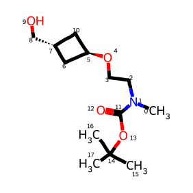 CN(CCO[C@H]1C[C@H](CO)C1)C(=O)OC(C)(C)C